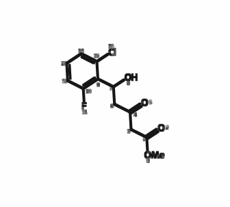 COC(=O)CC(=O)CC(O)c1c(F)cccc1Cl